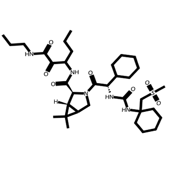 CCCNC(=O)C(=O)C(CCC)NC(=O)[C@@H]1[C@@H]2C(CN1C(=O)[C@@H](NC(=O)NC1(CS(C)(=O)=O)CCCCC1)C1CCCCC1)C2(C)C